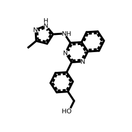 Cc1cc(Nc2nc(-c3cccc(CO)c3)nc3ccccc23)[nH]n1